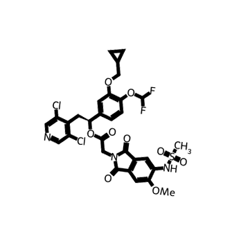 COc1cc2c(cc1NS(C)(=O)=O)C(=O)N(CC(=O)O[C@@H](Cc1c(Cl)cncc1Cl)c1ccc(OC(F)F)c(OCC3CC3)c1)C2=O